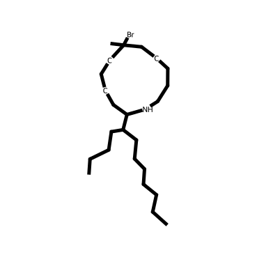 CCCCCCCC(CCCC)C1CCCCC(C)(Br)CCCCCN1